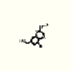 COc1cnc2c(Br)cc(CO)cc2n1